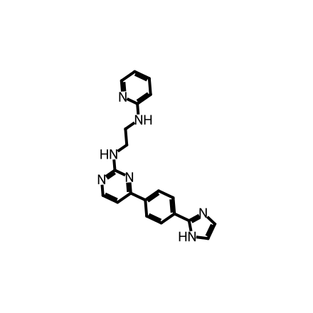 c1ccc(NCCNc2nccc(-c3ccc(-c4ncc[nH]4)cc3)n2)nc1